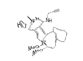 C#CCNc1nncc2c1=C1C3=C(C=C(OC)[N+]1(OC)C=2)CCC=C3.Cl